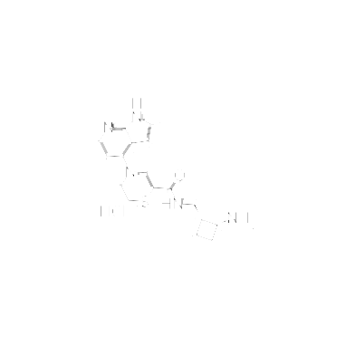 Cl.N[C@H]1CC[C@H]1CNC(=O)C1=CN(c2ccnc3[nH]ccc23)CCS1